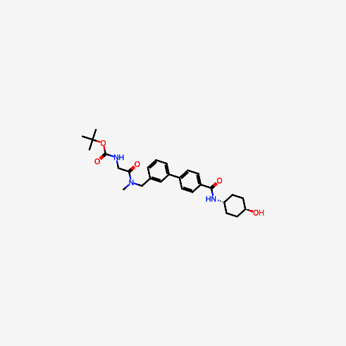 CN(Cc1cccc(-c2ccc(C(=O)N[C@H]3CC[C@H](O)CC3)cc2)c1)C(=O)CNC(=O)OC(C)(C)C